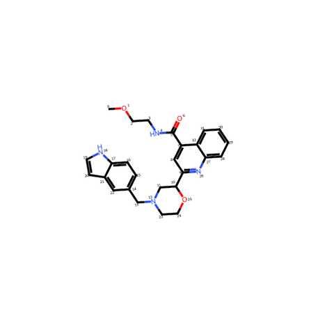 COCCNC(=O)c1cc(C2CN(Cc3ccc4[nH]ccc4c3)CCO2)nc2ccccc12